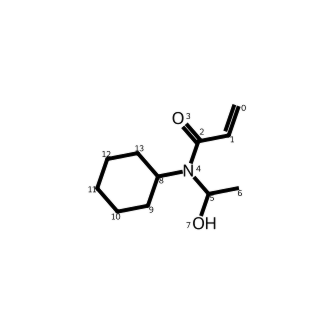 C=CC(=O)N(C(C)O)C1CCCCC1